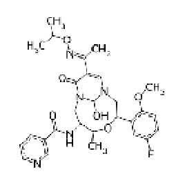 COc1ccc(F)cc1C1CN2C=C(/C(C)=N/OC(C)C)C(=O)N(C[C@@H](NC(=O)c3cccnc3)C(C)O1)C2O